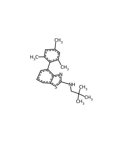 Cc1cc(C)c(-c2cccc3sc(NCC(C)(C)C)nc23)c(C)c1